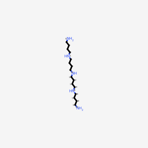 NCCCCNCCCCNCCCCNCCCCN